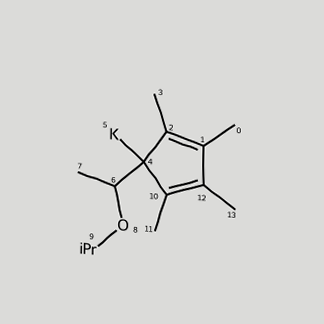 CC1=C(C)[C]([K])(C(C)OC(C)C)C(C)=C1C